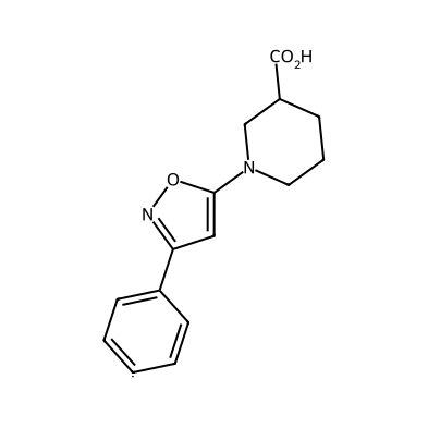 O=C(O)C1CCCN(c2cc(-c3cc[c]cc3)no2)C1